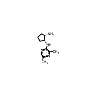 Cc1cnc(N[C@H]2CCC[C@@H]2N)c(C)n1